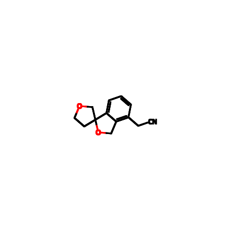 N#CCc1cccc2c1COC21CCOC1